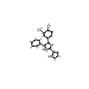 Clc1ccc(-c2nc(-c3ccc[nH]3)[nH]c2-c2ccccc2)cc1Cl